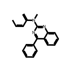 C=C(/C=C\C)N(C)c1nc(-c2ccccc2)c2ccccc2n1